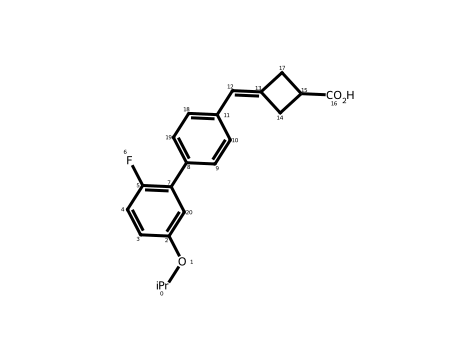 CC(C)Oc1ccc(F)c(-c2ccc(C=C3CC(C(=O)O)C3)cc2)c1